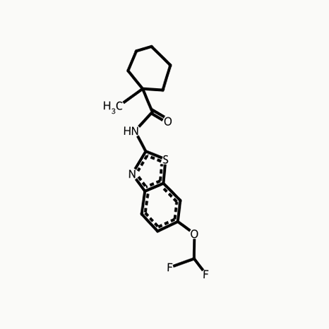 CC1(C(=O)Nc2nc3ccc(OC(F)F)cc3s2)CCCCC1